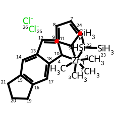 [CH3][Zr]([CH3])([CH3])([CH3])([CH]1C=CC=C1)([CH]1C=Cc2cc3c(cc21)CCC3)[SiH]([SiH3])[SiH3].[Cl-].[Cl-]